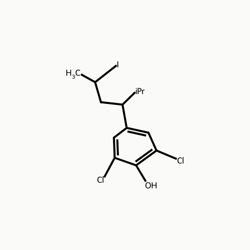 CC(I)CC(c1cc(Cl)c(O)c(Cl)c1)C(C)C